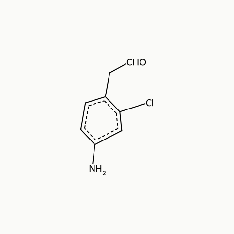 Nc1ccc(CC=O)c(Cl)c1